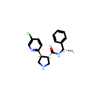 C[C@H](NC(=O)[C@@H]1CNC[C@H]1c1ccc(Cl)cn1)c1ccccc1